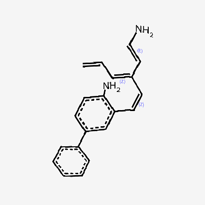 C=C/C=C(/C=C\c1cc(-c2ccccc2)ccc1N)\C=C\N